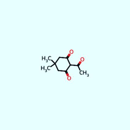 CC(=O)C1C(=O)CC(C)(C)CC1=O